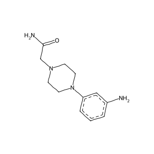 NC(=O)CN1CCN(c2cccc(N)c2)CC1